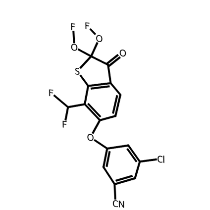 N#Cc1cc(Cl)cc(Oc2ccc3c(c2C(F)F)SC(OF)(OF)C3=O)c1